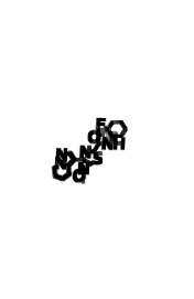 CON1C2SC(C(=O)N[C@@H]3CCCCC3(F)F)=NC21c1cnn2ccccc12